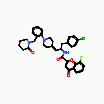 O=C(N[C@@H](C=C1CCN(c2ccccc2CN2CCCCC2=O)CC1)Cc1ccc(Cl)cc1)c1cc(=O)c2cccc(F)c2o1